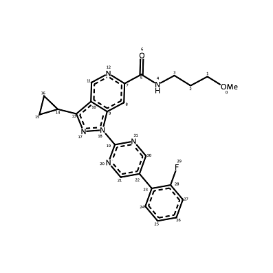 COCCCNC(=O)c1cc2c(cn1)c(C1CC1)nn2-c1ncc(-c2ccccc2F)cn1